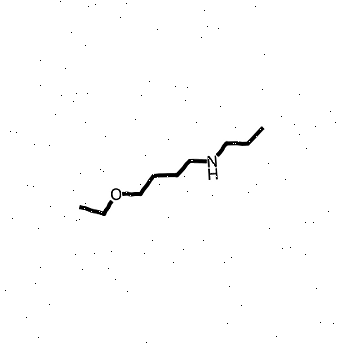 CCCNCCCCOCC